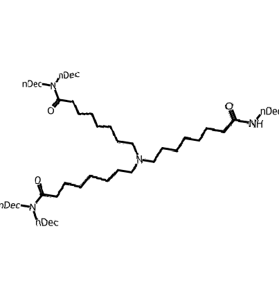 CCCCCCCCCCNC(=O)CCCCCCCN(CCCCCCCC(=O)N(CCCCCCCCCC)CCCCCCCCCC)CCCCCCCC(=O)N(CCCCCCCCCC)CCCCCCCCCC